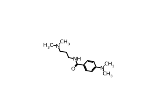 CN(C)CCCNC(=O)c1ccc(N(C)C)cc1